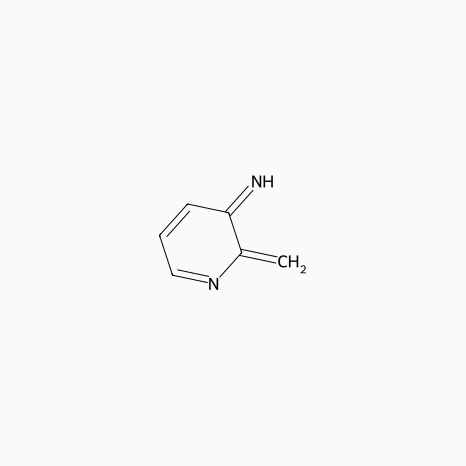 C=C1N=CC=CC1=N